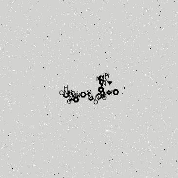 CC(C)n1cnc2cc(-c3ccc4c(c3)N([C@H]3C[C@@H](N5CCCCC5)C3)C(=O)C43CCN(C(=O)[C@@H]4CCN(C(=O)[C@H]5CC[C@H](Nc6cccc7c6C(=O)N(C6CCC(=O)NC6=O)C7=O)CC5)C4)CC3)nc(NC3CC3)c21